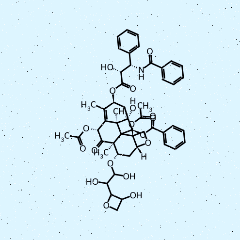 CC(=O)O[C@H]1C(=O)[C@]2(C)[C@@H](OC(O)C(O)C3OCC3O)C[C@H]3OC[C@@]3(OC(C)=O)C23[C@H](OC(=O)c2ccccc2)[C@]2(O)C[C@H](OC(=O)[C@H](O)[C@@H](NC(=O)c4ccccc4)c4ccccc4)C(C)=C1[C@]32C